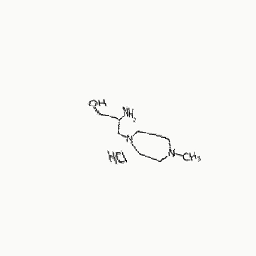 CN1CCN(CC(N)CO)CC1.Cl